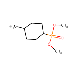 [CH2]C1CCC(P(=O)(OC)OC)CC1